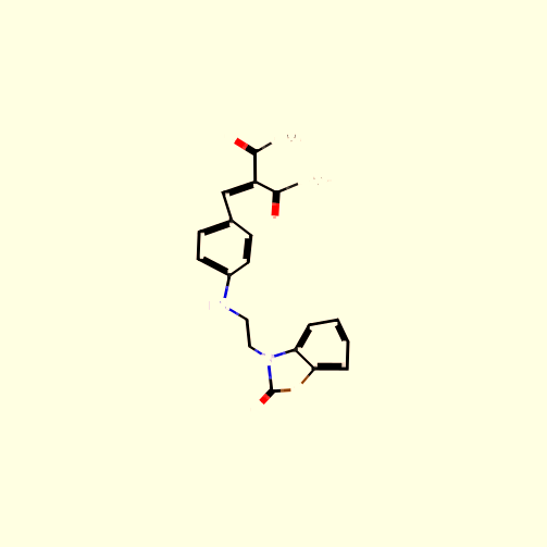 COC(=O)C(=Cc1ccc(NCCn2c(=O)sc3ccccc32)cc1)C(=O)OC